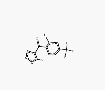 Cc1oncc1C(=O)c1ccc(C(F)(F)F)cc1F